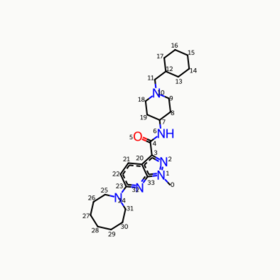 Cn1nc(C(=O)NC2CCN(CC3CCCCC3)CC2)c2ccc(N3CCCCCCC3)nc21